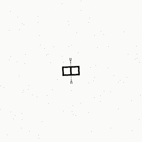 C1C[C@H]2CC[C@@H]12